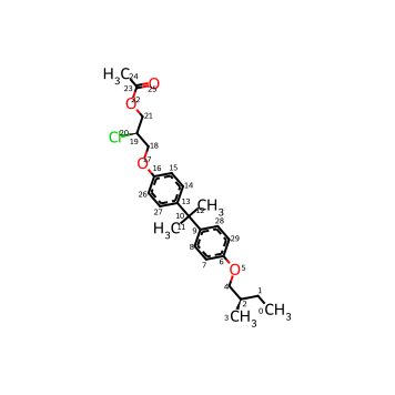 CC[C@@H](C)COc1ccc(C(C)(C)c2ccc(OC[C@@H](Cl)COC(C)=O)cc2)cc1